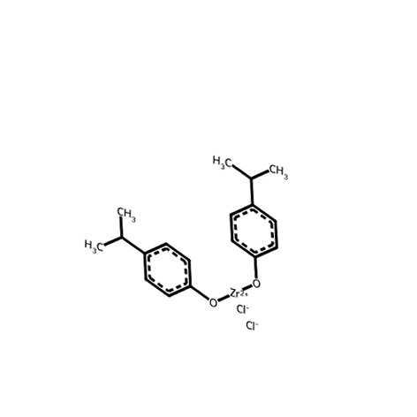 CC(C)c1ccc([O][Zr+2][O]c2ccc(C(C)C)cc2)cc1.[Cl-].[Cl-]